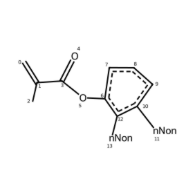 C=C(C)C(=O)Oc1cccc(CCCCCCCCC)c1CCCCCCCCC